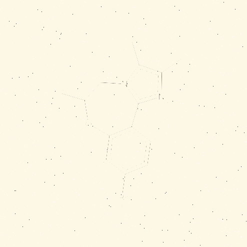 Cc1nc2n(c1C)CC(C)Oc1cc(Br)ccc1-2